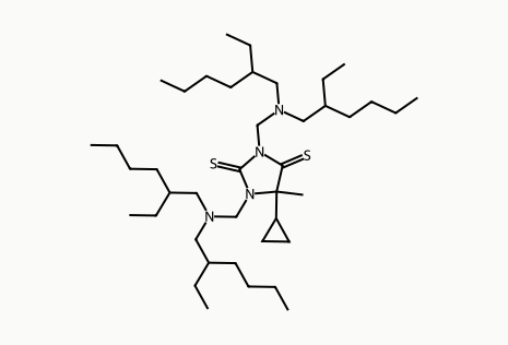 CCCCC(CC)CN(CC(CC)CCCC)CN1C(=S)N(CN(CC(CC)CCCC)CC(CC)CCCC)C(C)(C2CC2)C1=S